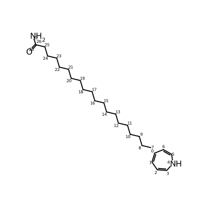 C1=CC=CNC=C1.CCCCCCCCCCCCCCCCCCCC(N)=O